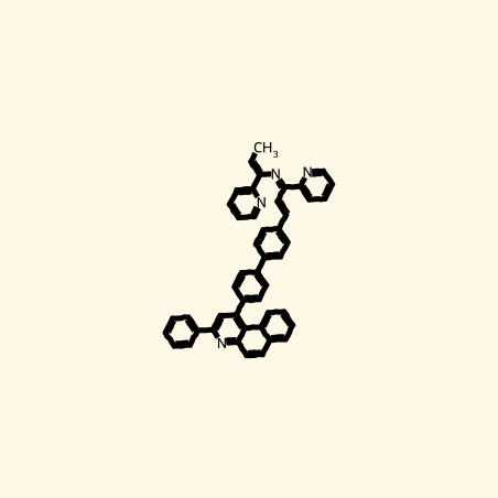 C\C=C(/N=C(\C=C\c1ccc(-c2ccc(-c3cc(-c4ccccc4)nc4ccc5ccccc5c34)cc2)cc1)c1ccccn1)c1ccccn1